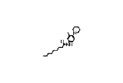 CCCCCCCCC(=O)NC1C=C(C)C(N2CCCCC2)=CC1